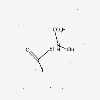 CCC(=O)I.CCCCNC(=O)O